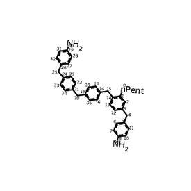 CCCCCc1cc(Cc2ccc(N)cc2)ccc1Cc1ccc(Cc2ccc(Cc3ccc(N)cc3)cc2)cc1